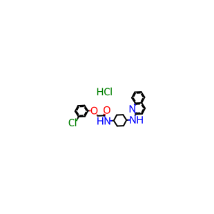 Cl.O=C(COc1cccc(Cl)c1)NC1CCC(Nc2ccc3ccccc3n2)CC1